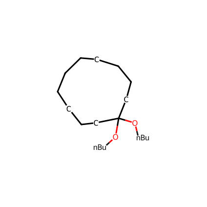 CCCCOC1(OCCCC)CCCCCCCCCC1